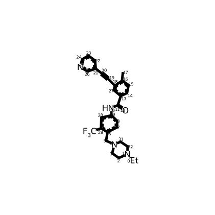 CCN1CCN(Cc2ccc(NC(=O)c3ccc(C)c(C#Cc4cccnc4)c3)cc2C(F)(F)F)CC1